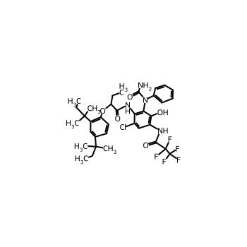 CCC(Oc1ccc(C(C)(C)CC)cc1C(C)(C)CC)C(=O)Nc1c(Cl)cc(NC(=O)C(F)(F)C(F)(F)F)c(O)c1N(C(N)=O)c1ccccc1